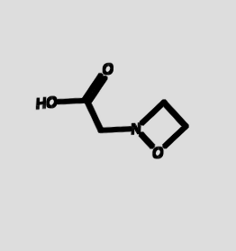 O=C(O)CN1CCO1